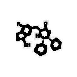 O=C1O[C@H](c2ccccc2)[C@H](c2ccccc2)N[C@H]1Cc1cc(F)c2c(c1)B(O)OC2